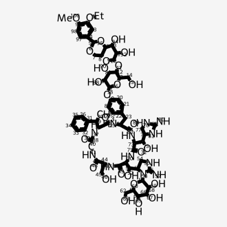 CCOc1cc(C2OCC3OC(OC4C(CO)OC(Oc5ccc(CC6NC(=O)C(C(C)c7ccccc7)NC(=O)CNC(=O)C(CO)NC(=O)C(C(O)C7CNC(=N)N7C7OC(CO)C(O)C(O)C7O)NC(=O)C(C(O)C7CNC(=N)N7)NC6=O)cc5)C(O)C4O)C(O)C(O)C3O2)ccc1OC